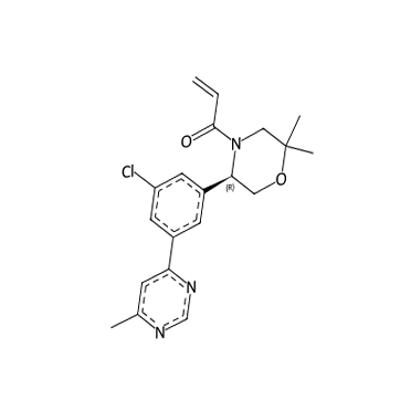 C=CC(=O)N1CC(C)(C)OC[C@H]1c1cc(Cl)cc(-c2cc(C)ncn2)c1